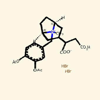 Br.Br.CC(=O)Oc1ccc(C[N+]2(C)[C@@H]3CC[C@H]2CC(C(CC(=O)O)C(=O)[O-])C3)cc1OC(C)=O